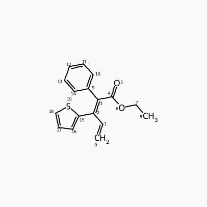 C=CC(=C(C(=O)OCC)c1ccccc1)c1cccs1